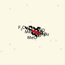 CCCCOC(=O)n1ccc2c(CN3CCN(CCC(F)(F)F)CC3c3ccc(C(=O)OC)c(OS(=O)(=O)C(F)(F)F)c3)c(OC)cc(C)c21